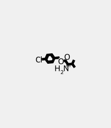 CC(C)[C@H](N)C(=O)OCc1ccc(Cl)cc1